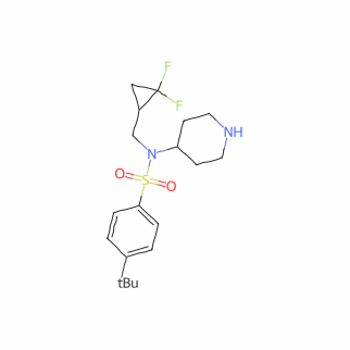 CC(C)(C)c1ccc(S(=O)(=O)N(CC2CC2(F)F)C2CCNCC2)cc1